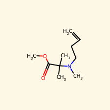 C=CCCN(C)C(C)(C)C(=O)OC